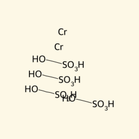 O=S(=O)(O)O.O=S(=O)(O)O.O=S(=O)(O)O.O=S(=O)(O)O.[Cr].[Cr]